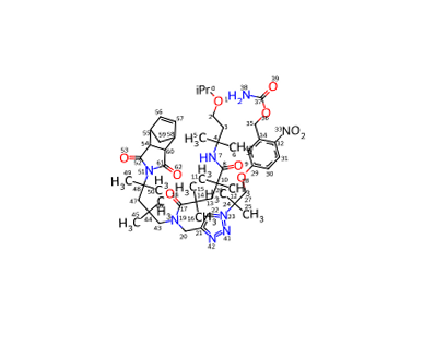 CC(C)OCCC(C)(C)NC(=O)C(C)(C)CC(C)(C)C(=O)N(Cc1cn(C(C)(C)COc2ccc([N+](=O)[O-])c(COC(N)=O)c2)nn1)CC(C)(C)CC(C)(C)N1C(=O)C2C3C=CC(C3)C2C1=O